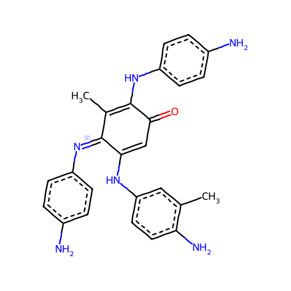 CC1=C(Nc2ccc(N)cc2)C(=O)C=C(Nc2ccc(N)c(C)c2)/C1=N\c1ccc(N)cc1